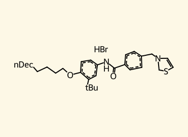 Br.CCCCCCCCCCCCCCOc1ccc(NC(=O)c2ccc(CN3C=CSC3)cc2)cc1C(C)(C)C